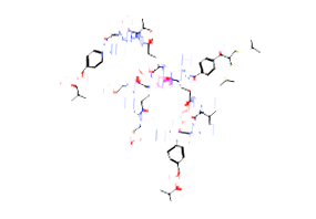 COCCNC(=O)CC[C@H](NC(=O)[C@H](CCC(=O)N[C@H](C(=O)N[C@@H](C)C(=O)Nc1ccc(COC(=O)C(C)C)cc1)C(C)C)NC(=O)[C@H](CCC(=O)N[C@H](C(=O)N[C@@H](C)C(=O)Nc1ccc(COC(=O)C(C)C)cc1)C(C)C)NC(=O)c1ccc(C(=O)C(CSC(C)C)CSC(C)C)cc1)C(=O)NCCOC